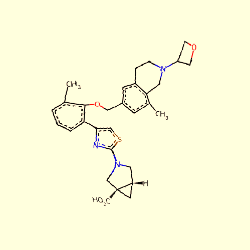 Cc1cc(COc2c(C)cccc2-c2csc(N3C[C@@H]4C[C@]4(C(=O)O)C3)n2)cc2c1CN(C1COC1)CC2